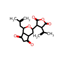 C=C(C)CC1OC(C2C(=O)OC(=O)C2C(=C)C)CC2C(=O)CC(=O)C12